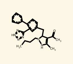 CCCCN1NC(C)=C(C(C)=O)C1Cc1ccc(-c2ccccc2)c(-c2nn[nH]n2)c1